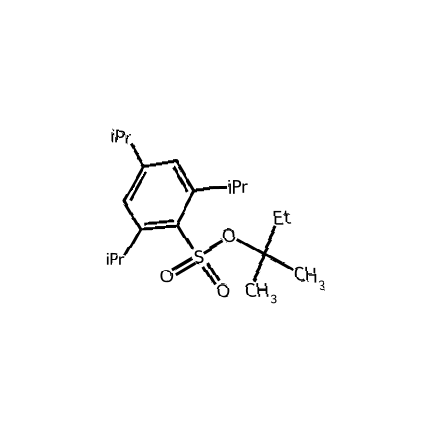 CCC(C)(C)OS(=O)(=O)c1c(C(C)C)cc(C(C)C)cc1C(C)C